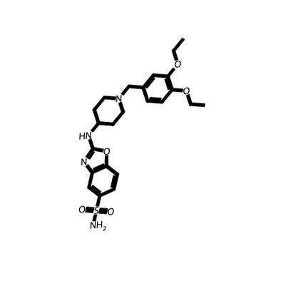 CCOc1ccc(CN2CCC(Nc3nc4cc(S(N)(=O)=O)ccc4o3)CC2)cc1OCC